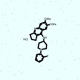 COc1cc2nc3c(c(NC4CCN(c5ccccc5F)CC4)c2cc1OC)CCC3.Cl